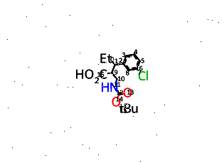 CC[C@@H](c1cccc(Cl)c1)[C@@H](CNC(=O)OC(C)(C)C)C(=O)O